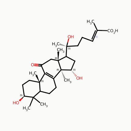 C/C(=C\CC[C@](C)(O)C1C[C@H](O)[C@@]2(C)C3=C(C(=O)C[C@]12C)[C@@]1(C)CC[C@H](O)C(C)(C)C1CC3)C(=O)O